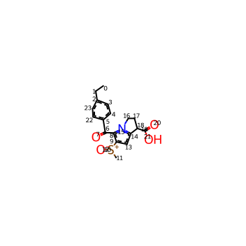 CCc1ccc(C(=O)c2c([S+](C)[O-])cc3n2CCC3C(=O)O)cc1